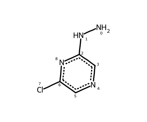 NNc1cncc(Cl)n1